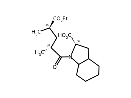 CCOC(=O)[C@H](C)C[C@@H](C)C(=O)N1C2CCCCC2C[C@H]1C(=O)O